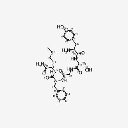 CSCC[C@H](NC(=O)[C@H](Cc1ccccc1)NC(=O)CNC(=O)[C@@H](C)NC(=O)[C@@H](N)Cc1ccc(O)cc1)C(N)=O.Cl